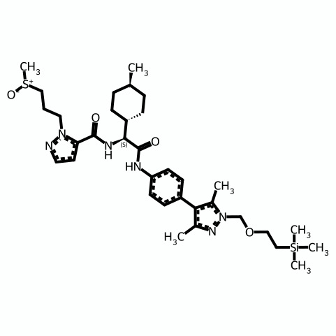 Cc1nn(COCC[Si](C)(C)C)c(C)c1-c1ccc(NC(=O)[C@@H](NC(=O)c2ccnn2CCC[S+](C)[O-])[C@H]2CC[C@H](C)CC2)cc1